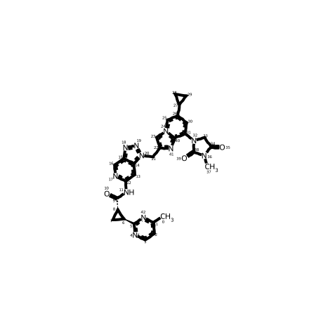 Cc1ccnc([C@H]2C[C@@H]2C(=O)Nc2cc3c(cn2)nnn3Cc2cn3cc(C4CC4)cc(N4CC(=O)N(C)C4=O)c3n2)n1